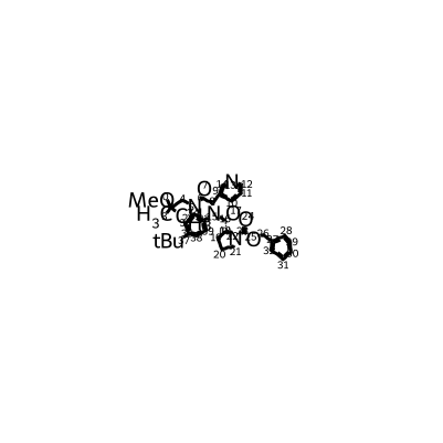 COC(C)(C)CNC(=O)C(c1cccnc1)N(C(=O)[C@H]1CCCN1C(=O)OCc1ccccc1)c1ccc(C(C)(C)C)cc1